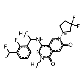 CC(Nc1nn(C)c(=O)c2cc(=O)n([C@@H]3CCC(F)(F)C3)cc12)c1cccc(C(F)F)c1F